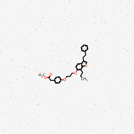 CCCc1c(OCCCOc2ccc(CC(=O)OC)cc2)ccc2c(CCc3ccccc3)csc12